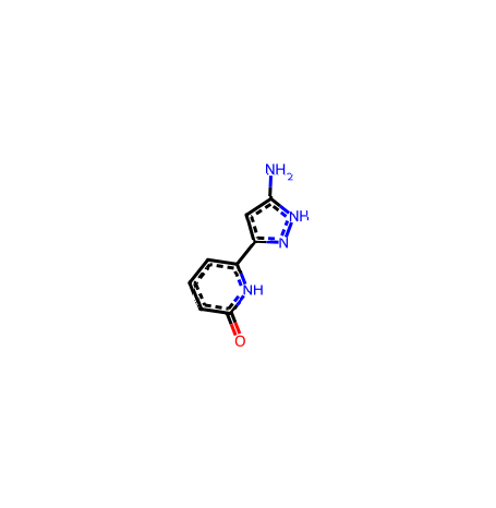 Nc1cc(-c2cccc(=O)[nH]2)n[nH]1